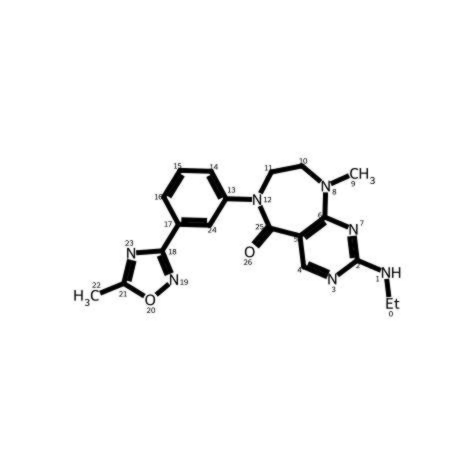 CCNc1ncc2c(n1)N(C)CCN(c1cccc(-c3noc(C)n3)c1)C2=O